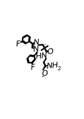 COC[C@H](N)CCNC(=O)C(C)(C)[CH]c1nc(-c2cccc(F)c2)cn1Cc1cccc(F)c1